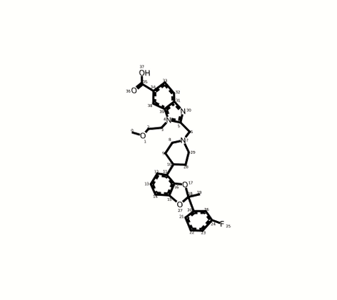 COCCn1c(CN2CCC(c3cccc4c3OC(C)(c3cccc(F)c3)O4)CC2)nc2ccc(C(=O)O)cc21